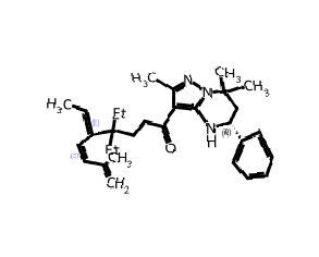 C=C(C)/C=C\C(=C/C)C(CC)(CC)CCC(=O)c1c(C)nn2c1N[C@@H](c1ccccc1)CC2(C)C